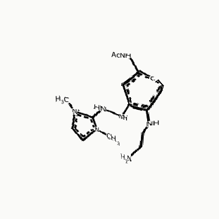 CC(=O)Nc1ccc(NCCN)c(NNc2n(C)cc[n+]2C)c1